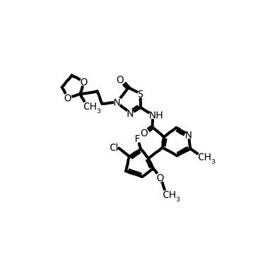 COc1ccc(Cl)c(F)c1-c1cc(C)ncc1C(=O)Nc1nn(CCC2(C)OCCO2)c(=O)s1